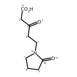 O=C(O)CC(=O)CCN1CCCC1=O